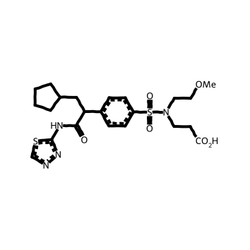 COCCN(CCC(=O)O)S(=O)(=O)c1ccc(C(CC2CCCC2)C(=O)Nc2nncs2)cc1